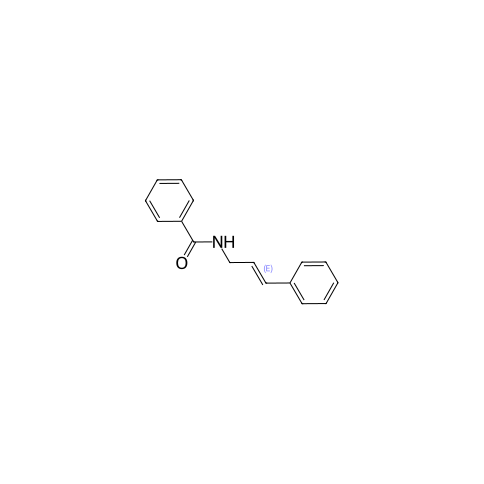 O=C(NC/C=C/c1ccccc1)c1ccccc1